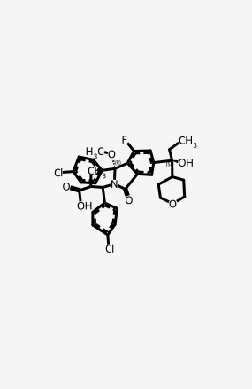 CC[C@@](O)(c1cc(F)c2c(c1)C(=O)N(C(c1ccc(Cl)cc1)C(C)C(=O)O)[C@@]2(OC)c1ccc(Cl)cc1)C1CCOCC1